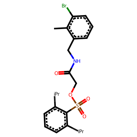 Cc1c(Br)cccc1CNC(=O)COS(=O)(=O)c1c(C(C)C)cccc1C(C)C